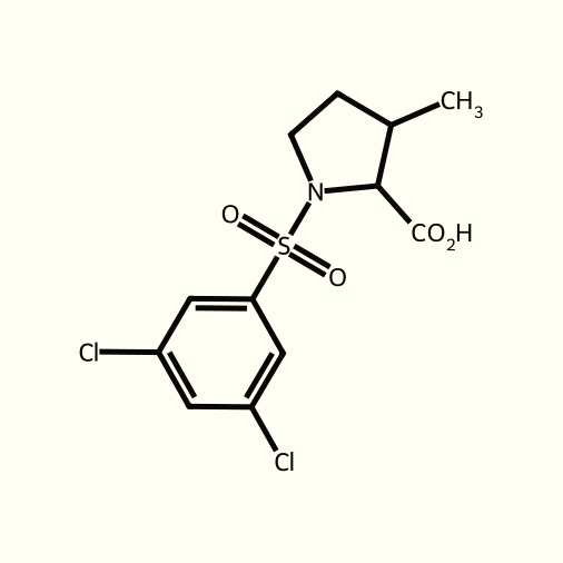 CC1CCN(S(=O)(=O)c2cc(Cl)cc(Cl)c2)C1C(=O)O